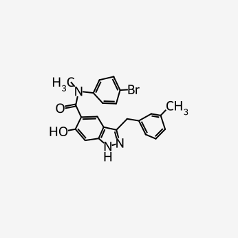 Cc1cccc(Cc2n[nH]c3cc(O)c(C(=O)N(C)c4ccc(Br)cc4)cc23)c1